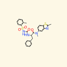 Cc1nc2cc(N(C)C(=O)C(Cc3ccccc3)NC(=O)NS(=O)(=O)c3ccccc3C)ccc2s1